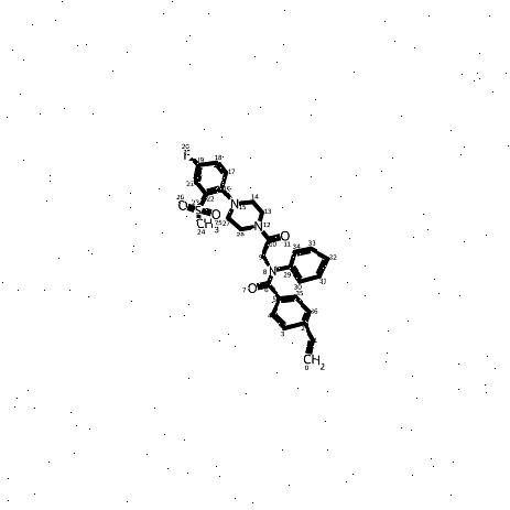 C=Cc1ccc(C(=O)N(CC(=O)N2CCN(c3ccc(F)cc3S(C)(=O)=O)CC2)c2ccccc2)cc1